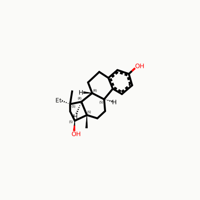 CC[C@@]1(C)C[C@H](O)[C@@]2(C)CC[C@@H]3c4ccc(O)cc4CC[C@H]3[C@H]12